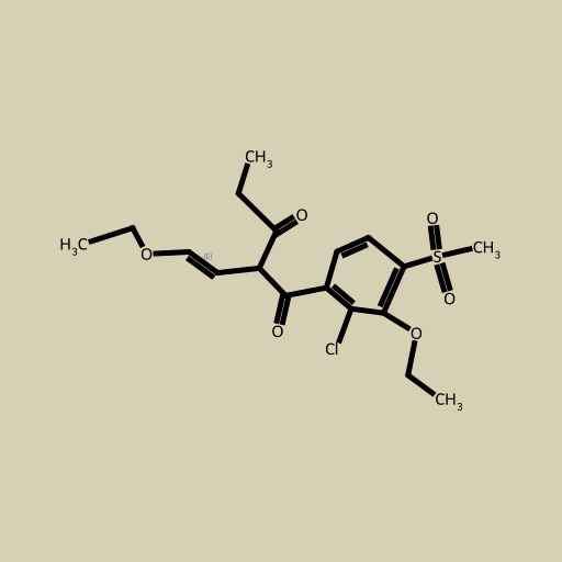 CCO/C=C/C(C(=O)CC)C(=O)c1ccc(S(C)(=O)=O)c(OCC)c1Cl